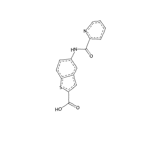 O=C(Nc1ccc2sc(C(=O)O)cc2c1)c1ccccn1